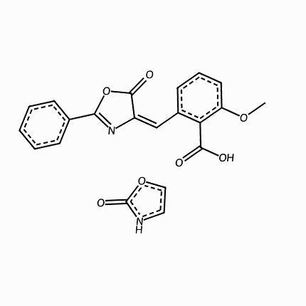 COc1cccc(C=C2N=C(c3ccccc3)OC2=O)c1C(=O)O.O=c1[nH]cco1